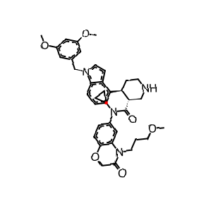 COCCCN1C(=O)COc2ccc(N(C(=O)[C@H]3CNCC[C@@H]3c3cccc4c3ccn4Cc3cc(OC)cc(OC)c3)C3CC3)cc21